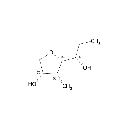 CC[C@H](O)[C@H]1OC[C@@H](O)[C@H]1C